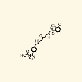 O=C(CCNCS(=O)(=O)c1cccc(Cl)c1Cl)CNCCc1ccc(C2=NCCN2C(=O)O)cc1